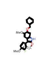 CCOC(=O)Oc1[nH]c2cc(OCc3ccccc3)c(OC)cc2c1-c1ccc(OC)c(F)c1